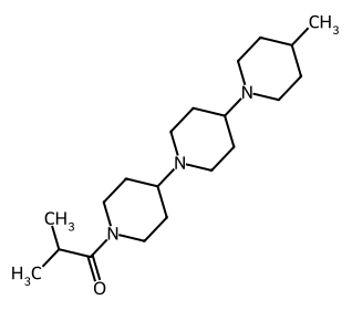 CC1CCN(C2CCN(C3CCN(C(=O)C(C)C)CC3)CC2)CC1